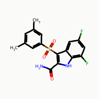 Cc1cc(C)cc(S(=O)(=O)c2c(C(N)=O)[nH]c3c(F)cc(F)cc23)c1